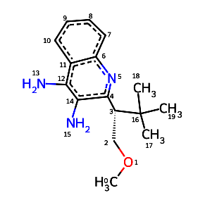 COC[C@H](c1nc2ccccc2c(N)c1N)C(C)(C)C